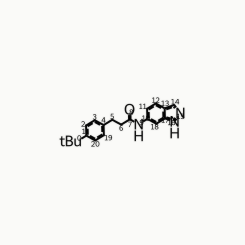 CC(C)(C)c1ccc(CCC(=O)Nc2ccc3cn[nH]c3c2)cc1